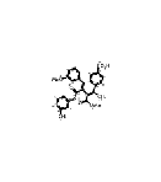 COC(=O)C(C(=Cc1cccc(OC)c1)C(=O)Nc1ccnc(C)c1)=C(C)c1ccc(C(=O)O)cc1